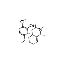 CCc1ccc(OC)c(O)c1[C@@]12CCCC=C1[C@@H](C)N(C)CC2